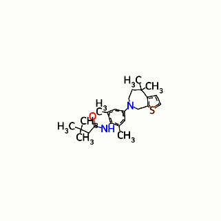 Cc1cc(N2CCC(C)(C)c3ccsc3C2)cc(C)c1NC(=O)CC(C)(C)C